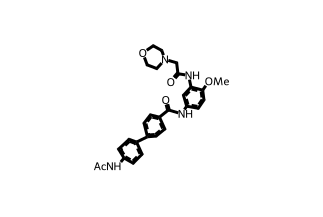 COc1ccc(NC(=O)c2ccc(-c3ccc(NC(C)=O)cc3)cc2)cc1NC(=O)CN1CCOCC1